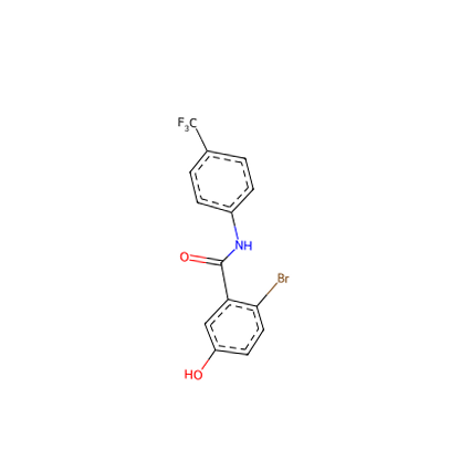 O=C(Nc1ccc(C(F)(F)F)cc1)c1cc(O)ccc1Br